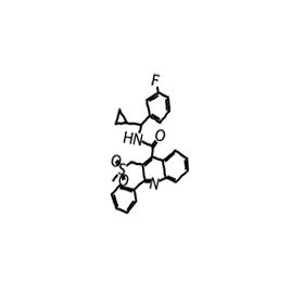 CS(=O)(=O)Cc1c(-c2ccccc2)nc2ccccc2c1C(=O)NC(c1cccc(F)c1)C1CC1